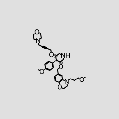 COCCCN1CCOc2ccc(CO[C@H]3CNC[C@@H](OCC#CCN4CCOCC4)[C@@H]3c3ccc(OC)cc3)cc21